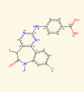 CC1C(=O)N(C)c2cc(Cl)ccc2-c2nc(Nc3ccc(C(=O)O)cc3)ncc21